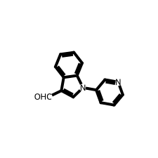 O=Cc1cn(-c2cccnc2)c2ccccc12